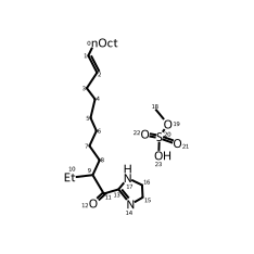 CCCCCCCCC=CCCCCCCC(CC)C(=O)C1=NCCN1.COS(=O)(=O)O